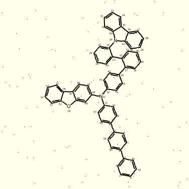 c1ccc(-c2ccc(-c3ccc(N(c4ccc(-c5ccccc5-c5ccccc5-n5c6ccccc6c6ccccc65)cc4)c4ccc5c(c4)oc4ccccc45)cc3)cc2)cc1